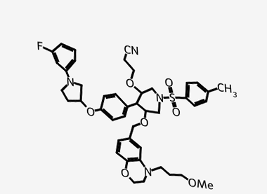 COCCCN1CCOc2ccc(COC3CN(S(=O)(=O)c4ccc(C)cc4)CC(OCCC#N)C3c3ccc(OC4CCN(c5cccc(F)c5)C4)cc3)cc21